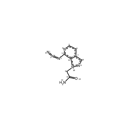 [N-]=[N+]=Nc1nccc2cnn(CC(N)=O)c12